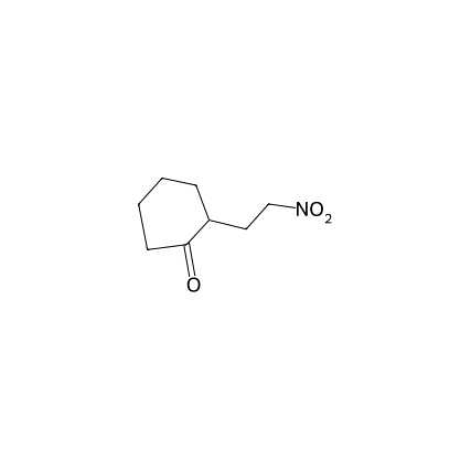 O=C1CCCCC1CC[N+](=O)[O-]